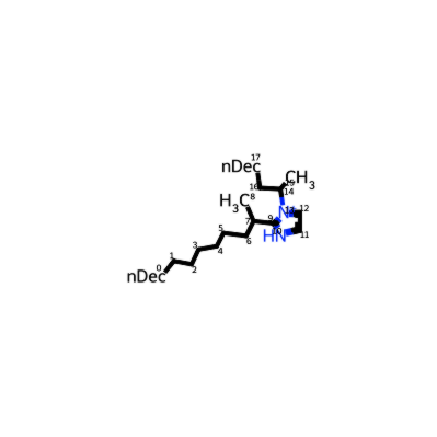 CCCCCCCCCCCCCCCCC(C)c1[nH]cc[n+]1C(C)CCCCCCCCCCC